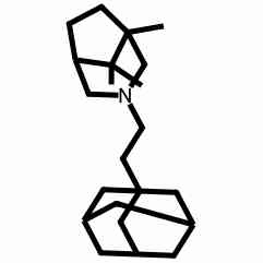 CC12CCC(CN(CCC34CC5CC(CC(C5)C3)C4)C1)C2(C)C